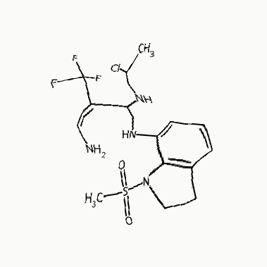 CC(Cl)NC(Nc1cccc2c1N(S(C)(=O)=O)CC2)/C(=C\N)C(F)(F)F